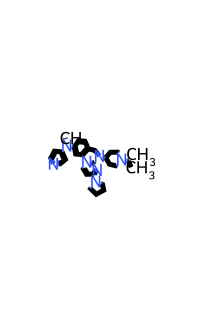 CC(C)N1CCC(N(Cc2ccc(N(C)c3ccncc3)cc2)c2nccc(N3CCCC3)n2)CC1